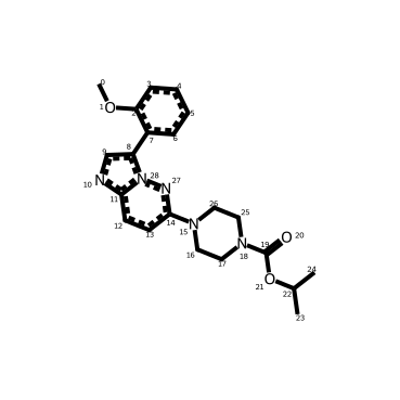 COc1ccccc1-c1cnc2ccc(N3CCN(C(=O)OC(C)C)CC3)nn12